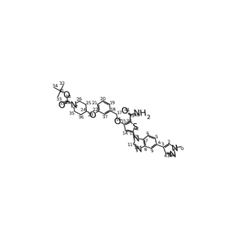 Cn1cc(-c2ccc3c(c2)ncn3-c2cc(OCc3cccc(OC4CCN(C(=O)OC(C)(C)C)CC4)c3)c(C(N)=O)s2)cn1